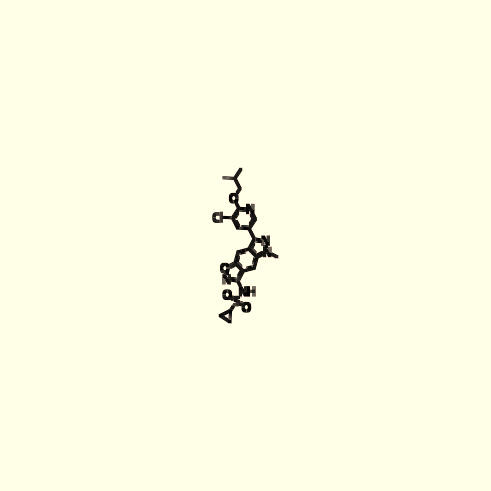 CC(C)COc1ncc(-c2nn(C)c3cc4c(NS(=O)(=O)C5CC5)noc4cc23)cc1Cl